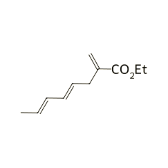 C=C(CC=CC=CC)C(=O)OCC